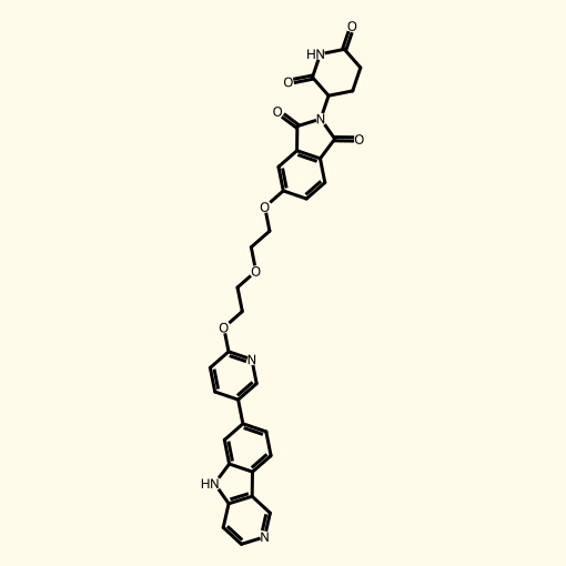 O=C1CCC(N2C(=O)c3ccc(OCCOCCOc4ccc(-c5ccc6c(c5)[nH]c5ccncc56)cn4)cc3C2=O)C(=O)N1